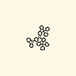 c1ccc(C2(c3ccccc3)c3ccccc3-c3ccc(N(c4ccc(-n5c6ccccc6c6ccccc65)cc4)c4cccc5c4-c4ccccc4C5(c4ccccc4)c4ccccc4)cc32)cc1